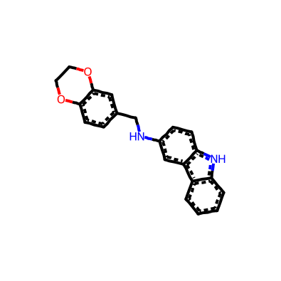 c1ccc2c(c1)[nH]c1ccc(NCc3ccc4c(c3)OCCO4)cc12